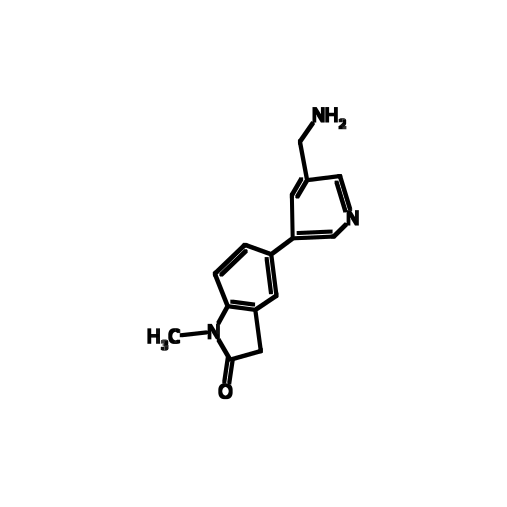 CN1C(=O)Cc2cc(-c3cncc(CN)c3)ccc21